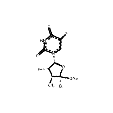 CC[C@@]1(OC)O[C@@H](n2cc(F)c(=O)[nH]c2=O)[C@@H](F)[C@@H]1C